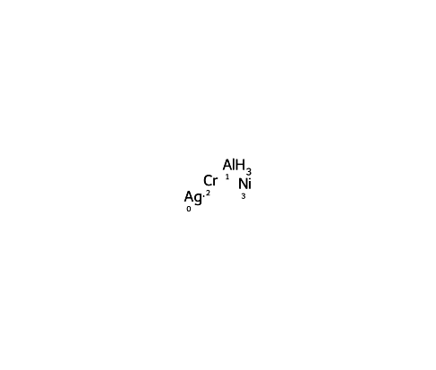 [Ag].[AlH3].[Cr].[Ni]